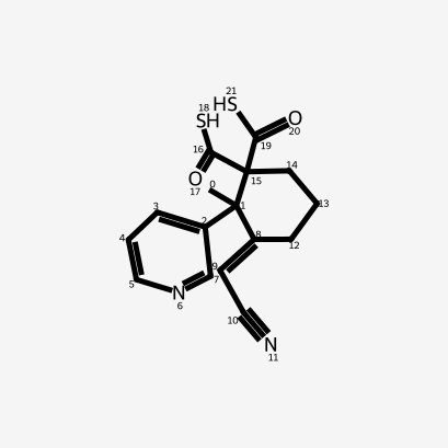 CC1(c2cccnc2)C(=CC#N)CCCC1(C(=O)S)C(=O)S